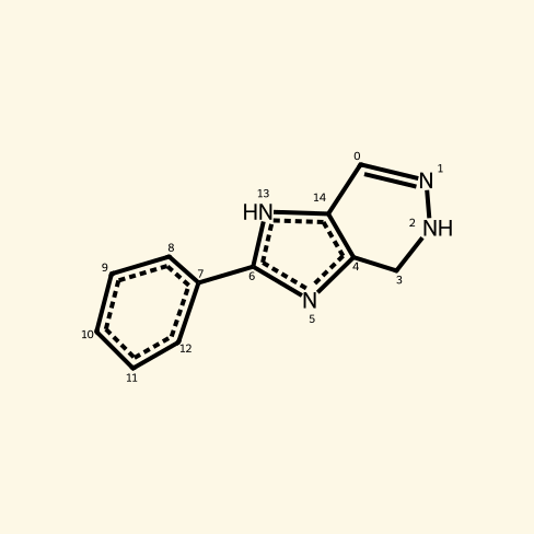 C1=NNCc2nc(-c3ccccc3)[nH]c21